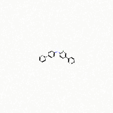 Clc1cc(-c2ccccc2)ccc1Nc1ccc(-c2ccccc2)cc1